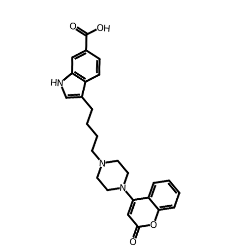 O=C(O)c1ccc2c(CCCCN3CCN(c4cc(=O)oc5ccccc45)CC3)c[nH]c2c1